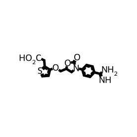 N=C(N)c1ccc(N2CC(COc3ccsc3CC(=O)O)OC2=O)cc1